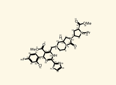 COC(=O)C1=C(CN2CCN3C(=O)N([C@H]4C[C@@H](C(=O)OC)N(C(C)C)C4)C[C@@H]3C2)NC(c2nccs2)=N[C@H]1c1ccc(F)cc1Cl